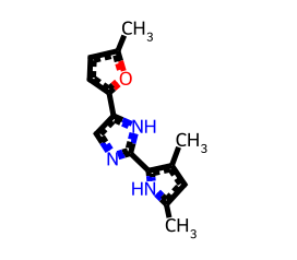 Cc1cc(C)c(-c2ncc(-c3ccc(C)o3)[nH]2)[nH]1